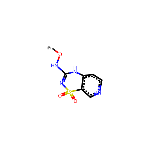 CC(C)ONC1=NS(=O)(=O)c2cnccc2N1